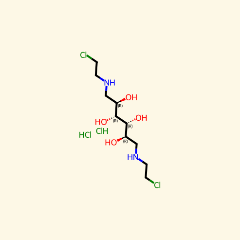 Cl.Cl.O[C@@H]([C@H](O)[C@H](O)CNCCCl)[C@H](O)CNCCCl